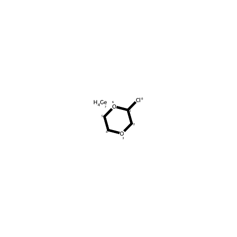 ClC1COCCO1.[GeH4]